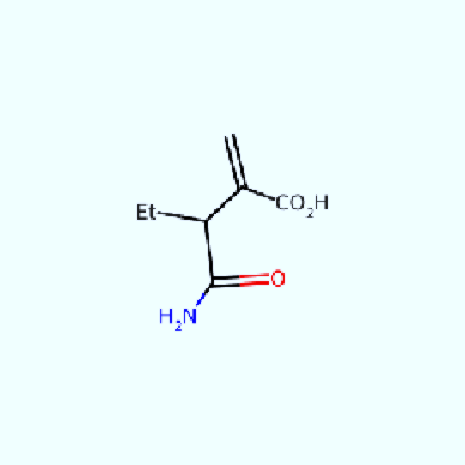 C=C(C(=O)O)C(CC)C(N)=O